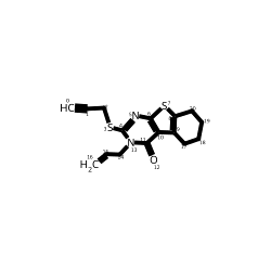 C#CCSc1nc2sc3c(c2c(=O)n1CC=C)CCCC3